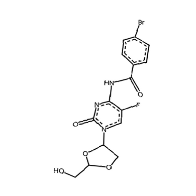 O=C(Nc1nc(=O)n(C2COC(CO)O2)cc1F)c1ccc(Br)cc1